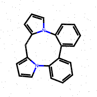 c1ccc2c(c1)-c1ccccc1-n1cccc1Cc1cccn1-2